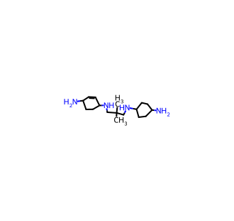 CC(C)(CNC1C=CC(N)CC1)CNC1CCC(N)CC1